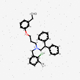 O=CCc1cccc(OCCCN(Cc2cccc(C(F)(F)F)c2Cl)CC(c2ccccc2)c2ccccc2)c1